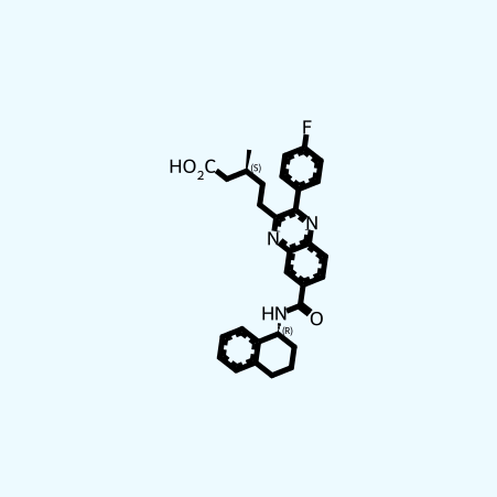 C[C@@H](CCc1nc2cc(C(=O)N[C@@H]3CCCc4ccccc43)ccc2nc1-c1ccc(F)cc1)CC(=O)O